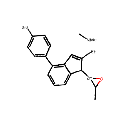 CCC1=Cc2c(-c3ccc(C(C)(C)C)cc3)cccc2[CH]1[Zr+]1[O][CH]1C.C[N-]C